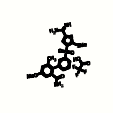 COc1cc(C)c(-c2cccc(S(=O)(=O)c3cc(C(=N)N)sc3SC)c2)c(C(N)=O)c1.O=C(O)C(F)(F)F